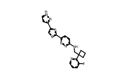 Fc1cccnc1C1(CNc2ccc(-c3ncc(-c4cc[nH]n4)s3)nn2)CCC1